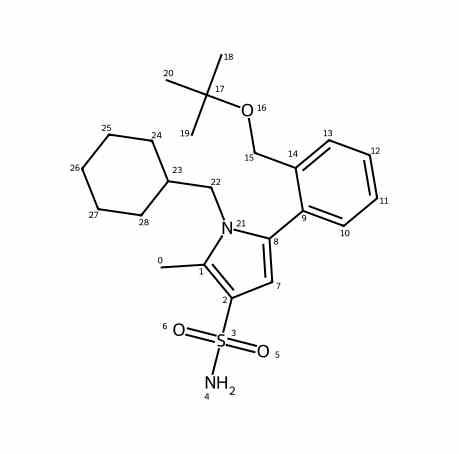 Cc1c(S(N)(=O)=O)cc(-c2ccccc2COC(C)(C)C)n1CC1CCCCC1